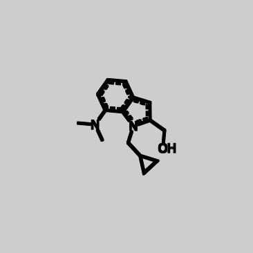 CN(C)c1cccc2cc(CO)n(CC3CC3)c12